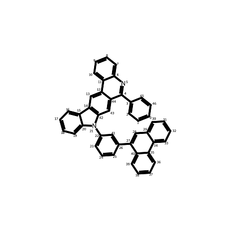 c1ccc(-c2nc3ccccc3c3cc4c5ccccc5n(-c5cccc(-c6cc7ccccc7c7ccccc67)c5)c4cc23)cc1